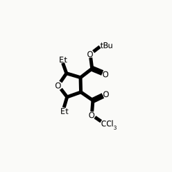 CCC1OC(CC)C(C(=O)OC(Cl)(Cl)Cl)C1C(=O)OC(C)(C)C